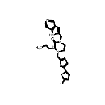 CCC[C@H]1C(=O)N(Cc2cc3cnccc3[nH]2)CCN1Cc1ccc(-c2ccc(Cl)s2)s1